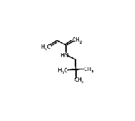 C=CC(=C)NCC(C)(C)C